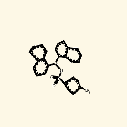 O=S(=O)(O[I+](c1cccc2ccccc12)c1cccc2ccccc12)c1ccc(C(F)(F)F)cc1